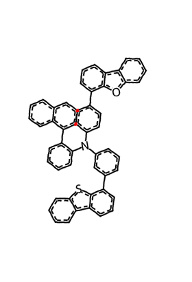 c1cc(-c2cccc3c2sc2ccccc23)cc(N(c2ccc(-c3cccc4c3oc3ccccc34)cc2)c2ccccc2-c2cccc3ccccc23)c1